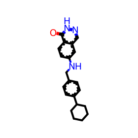 O=c1[nH]ncc2cc(NCc3ccc(C4CCCCC4)cc3)ccc12